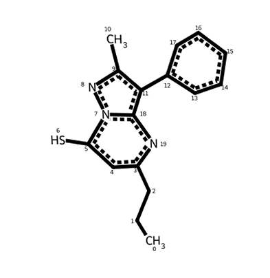 CCCc1cc(S)n2nc(C)c(-c3ccccc3)c2n1